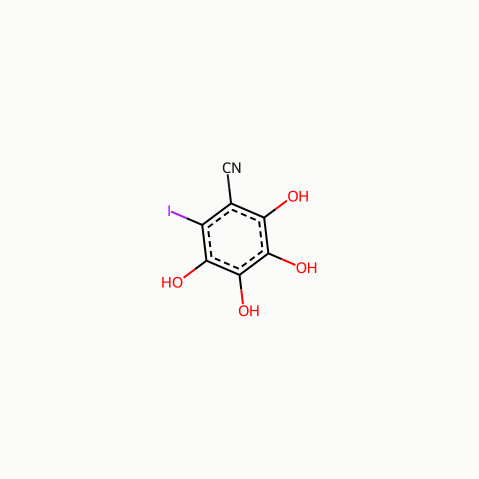 N#Cc1c(O)c(O)c(O)c(O)c1I